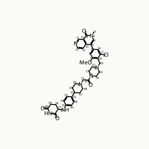 COc1cc(-c2cn(C)c(=O)c3cnccc23)cc(Cl)c1CN1CCN(C(=O)CN2CCC(c3ccc(NC4CCC(=O)NC4=O)cc3)CC2)CC1